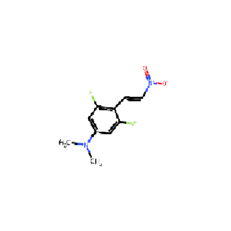 CN(C)c1cc(F)c(C=C[N+](=O)[O-])c(F)c1